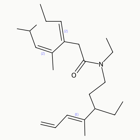 C=C/C=C(\C)C(CC)CCN(CC)C(=O)CC(=C/CC)/C(C)=C\C(C)C